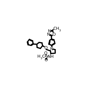 Cc1nnc(-c2ccc(N3CC[C@H](NS(C)(=O)=O)C3COC3CCC(c4ccccc4)CC3)cc2)o1